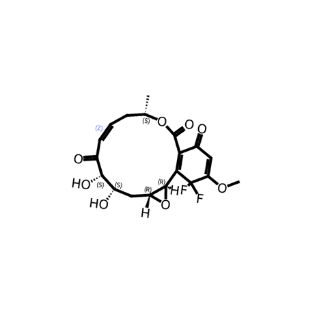 COC1=CC(=O)C2=C([C@H]3O[C@@H]3C[C@H](O)[C@H](O)C(=O)/C=C\C[C@H](C)OC2=O)C1(F)F